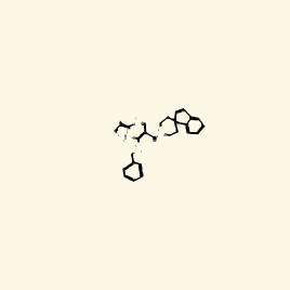 O=C(O)c1cnn2c(NCc3ccccc3)c(C(=O)N3CCC4(C=Cc5ccccc54)CC3)cnc12